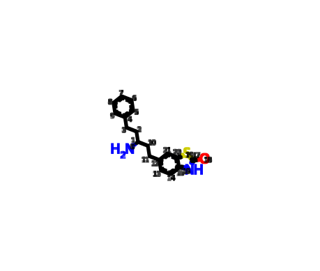 NC(CCc1ccccc1)CCc1ccc2[nH]c(=O)sc2c1